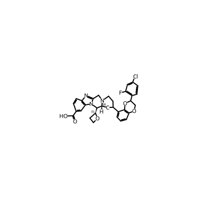 O=C(O)c1ccc2nc3n(c2c1)C([C@@H]1CCO1)[C@H]1CC(c2cccc4c2OC(c2ccc(Cl)cc2F)CO4)CCN1C3